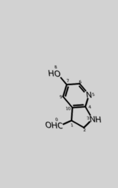 O=CC1CNc2ncc(O)cc21